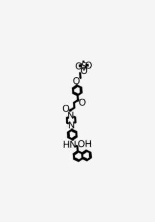 CS(=O)(=O)OCCOc1ccc(C(=O)CCC(=O)N2CCN(c3ccc(NC(O)c4cccc5ccccc45)cc3)CC2)cc1